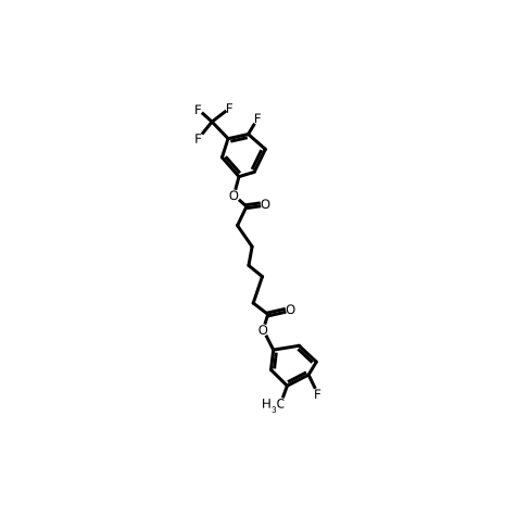 Cc1cc(OC(=O)CCCCCC(=O)Oc2ccc(F)c(C(F)(F)F)c2)ccc1F